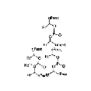 CCCCCC(CC)OP([O-])OC(CC)CCCCC.CCCCCC(CC)OP([O-])OC(CC)CCCCC.CCCCCC(CC)OP([O-])OC(CC)CCCCC.[Nd+3]